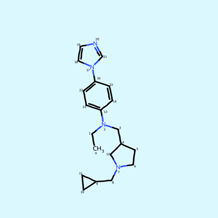 CCN(CC1CCN(CC2CC2)C1)c1ccc(-n2ccnc2)cc1